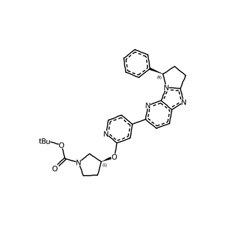 CC(C)(C)OC(=O)N1CC[C@H](Oc2cc(-c3ccc4nc5n(c4n3)[C@@H](c3ccccc3)CC5)ccn2)C1